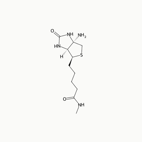 CNC(=O)CCCC[C@@H]1SC[C@]2(N)NC(=O)N[C@H]12